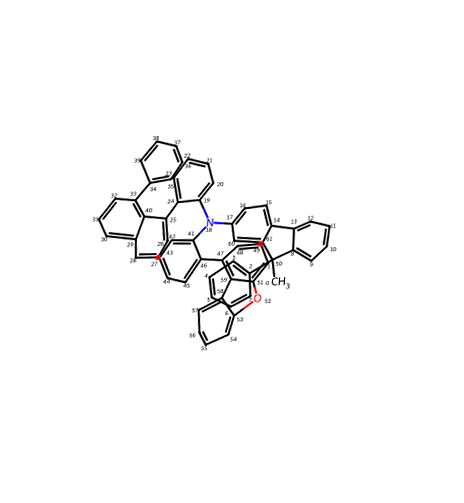 CC1(c2ccccc2)c2ccccc2-c2ccc(N(c3ccccc3-c3cccc4cccc(-c5ccccc5)c34)c3ccccc3-c3cccc4oc5ccccc5c34)cc21